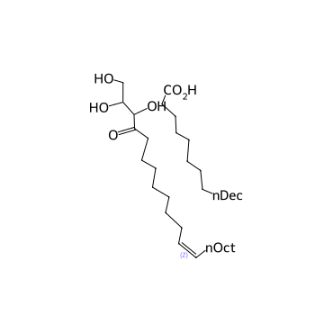 CCCCCCCC/C=C\CCCCCCCC(=O)C(O)C(O)CO.CCCCCCCCCCCCCCCCCC(=O)O